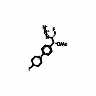 CO[C@H](c1ccc(N2CCC(F)CC2)cc1)[C@@H](CF)N=[N+]=[N-]